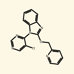 Clc1cncnc1-n1c(OCc2ccccn2)nc2ccccc21